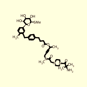 CS[C@H]1O[C@@H](c2ccc(C)c(Cc3ccc(CCCC(=O)OC(C)C#CCN(C)C(=O)CN4CCN(C(=O)C(C)(C)N)CC4)cc3)c2)[C@H](O)[C@@H](O)[C@@H]1O